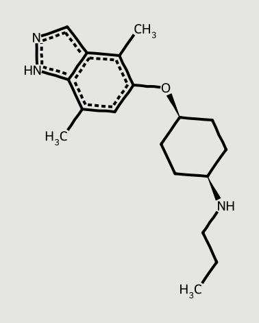 CCCN[C@H]1CC[C@@H](Oc2cc(C)c3[nH]ncc3c2C)CC1